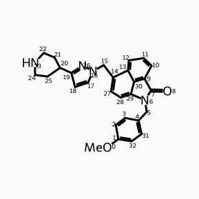 COc1ccc(CN2C(=O)c3cccc4c(Cn5ccc(C6CCNCC6)n5)ccc2c34)cc1